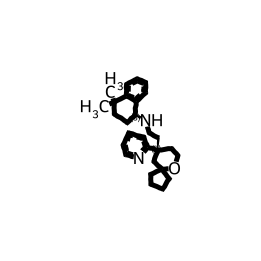 CC1(C)CC[C@H](NCC[C@@]2(c3ccccn3)CCOC3(CCCC3)C2)c2ccccc21